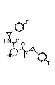 O=C(NC1CC1c1ccc(F)cc1)[C@@H]1CNC[C@H]1C(=O)NC1C[C@@H]1c1ccc(F)cc1